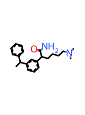 CC(c1ccccc1)c1cccc(C(CCCCN(C)C)C(N)=O)c1